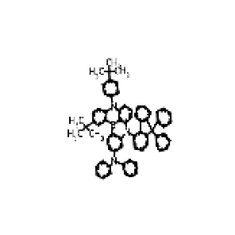 CC(C)(C)c1ccc(N2c3ccc(C(C)(C)C)cc3B3c4ccc(N(c5ccccc5)c5ccccc5)cc4N(c4cccc5c4-c4ccccc4C5(c4ccccc4)c4ccccc4)c4cccc2c43)cc1